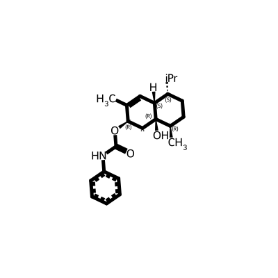 CC1=C[C@@H]2[C@H](C(C)C)CC[C@@H](C)[C@]2(O)[C][C@H]1OC(=O)Nc1ccccc1